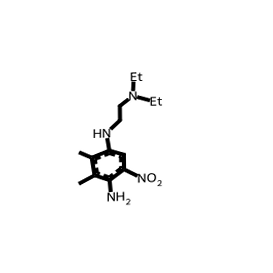 CCN(CC)CCNc1cc([N+](=O)[O-])c(N)c(C)c1C